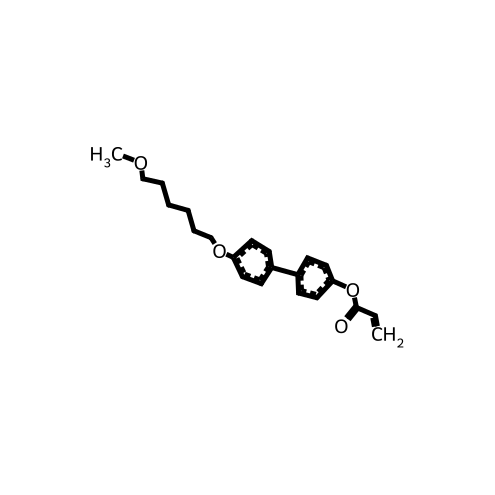 C=CC(=O)Oc1ccc(-c2ccc(OCCCCCCOC)cc2)cc1